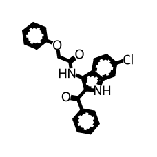 O=C(COc1ccccc1)Nc1c(C(=O)c2ccccc2)[nH]c2cc(Cl)ccc12